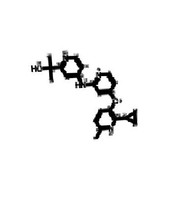 Cc1ccc(Oc2ccnc(Nc3ccnc(C(C)(C)O)c3)c2)c(C2CC2)n1